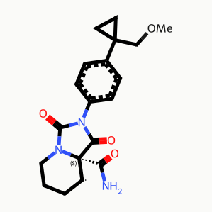 COCC1(c2ccc(N3C(=O)N4CCC[CH][C@]4(C(N)=O)C3=O)cc2)CC1